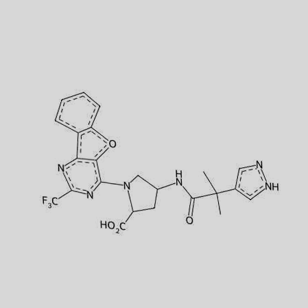 CC(C)(C(=O)NC1CC(C(=O)O)N(c2nc(C(F)(F)F)nc3c2oc2ccccc23)C1)c1cn[nH]c1